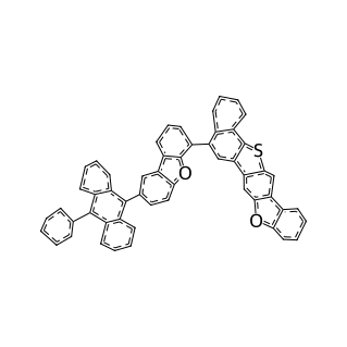 c1ccc(-c2c3ccccc3c(-c3ccc4oc5c(-c6cc7c8cc9oc%10ccccc%10c9cc8sc7c7ccccc67)cccc5c4c3)c3ccccc23)cc1